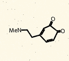 CNCCC1=CC(=O)C(=O)C=C1